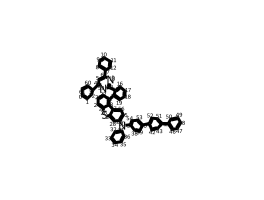 C1=CCC(c2cc(-c3ccccc3)nc(-c3ccccc3-c3cccc4sc5cc(N(c6ccccc6)c6ccc(-c7ccc(-c8ccccc8)cc7)cc6)ccc5c34)n2)C=C1